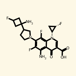 Nc1c(F)c(N2CCC(C3(N)CC(F)C3)C2)c(F)c2c1c(=O)c(C(=O)O)cn2[C@@H]1C[C@@H]1F